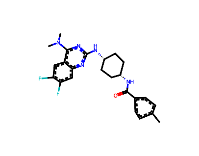 Cc1ccc(C(=O)N[C@H]2CC[C@@H](Nc3nc(N(C)C)c4cc(F)c(F)cc4n3)CC2)cc1